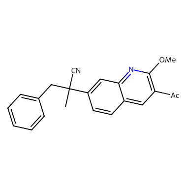 COc1nc2cc(C(C)(C#N)Cc3ccccc3)ccc2cc1C(C)=O